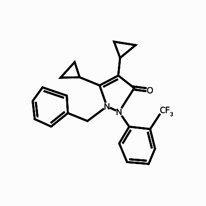 O=c1c(C2CC2)c(C2CC2)n(Cc2ccccc2)n1-c1ccccc1C(F)(F)F